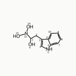 OC(Cc1c[nH]c2ccccc12)N(O)O